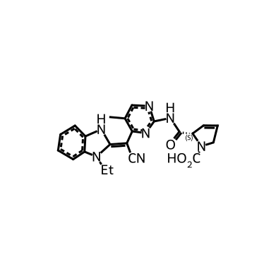 CCN1C(=C(C#N)c2nc(NC(=O)[C@@H]3C=CCN3C(=O)O)ncc2C)Nc2ccccc21